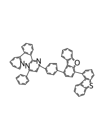 c1ccc(-c2cc(-c3ccc(-c4ccc(-c5cccc6sc7ccccc7c56)c5oc6ccccc6c45)cc3)nc(-c3ccccc3-c3ccccn3)n2)cc1